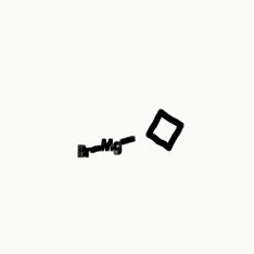 C1CCC1.[CH3][Mg][Br]